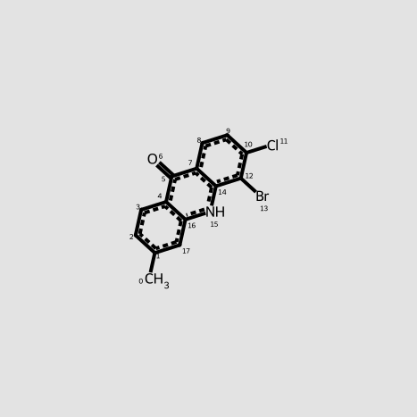 Cc1ccc2c(=O)c3ccc(Cl)c(Br)c3[nH]c2c1